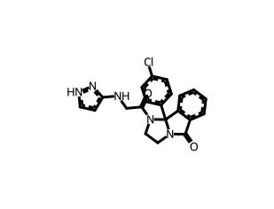 O=C(CNc1cc[nH]n1)N1CCN2C(=O)c3ccccc3C12c1ccc(Cl)cc1